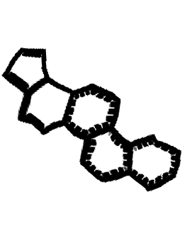 C1=CC2C(=C1)C=Cc1c2ccc2c1ccc1ccccc12